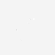 CC(C)(C)c1ccc(Oc2ccc(N)cc2F)cc1